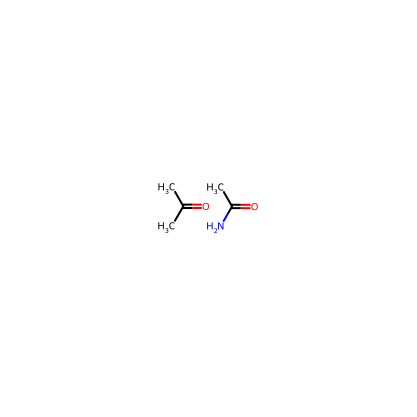 CC(C)=O.CC(N)=O